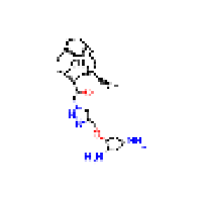 C#C/C1=C\C(C(=O)Cn2cc(CO[C@H]3C[C@H](N)C[C@@H]3N)nn2)=C(/C)CCC2=CC=C(CC2)CC1